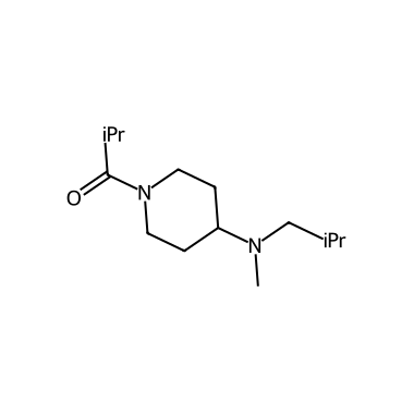 CC(C)CN(C)C1CCN(C(=O)C(C)C)CC1